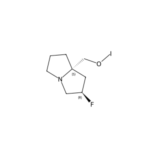 F[C@H]1CN2CCC[C@@]2(COI)C1